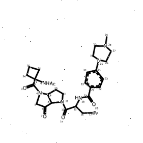 CC(=O)NC1(C(=O)N2CC(=O)C3C2CCN3C(=O)C(CC(C)C)NC(=O)c2ccc(N3CCN(C)CC3)cc2)CCC1